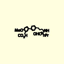 CCCN(C=O)C(=N)CCCc1ccc(-c2ccc(OC)c(CC(=O)O)c2)cc1